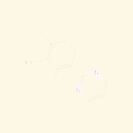 Fc1ccc(-c2ncccn2)c(F)c1C(F)(F)F